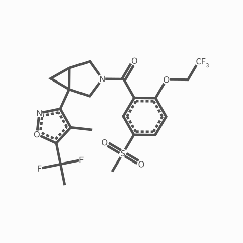 Cc1c(C23CC2CN(C(=O)c2cc(S(C)(=O)=O)ccc2OCC(F)(F)F)C3)noc1C(C)(F)F